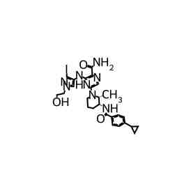 C[C@@H]1[C@H](NC(=O)c2ccc(C3CC3)cc2)CCCN1c1cnc(C(N)=O)c(Nc2cn(CCO)nc2I)n1